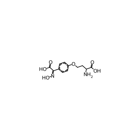 NC(CCOc1ccc(C(=NO)C(=O)O)cc1)C(=O)O